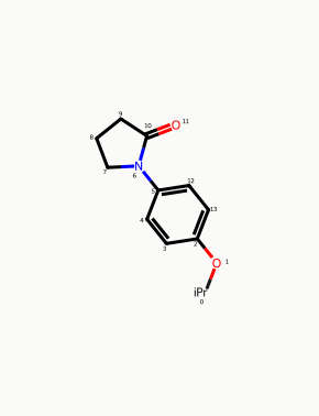 CC(C)Oc1ccc(N2CCCC2=O)cc1